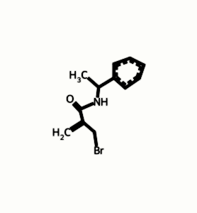 C=C(CBr)C(=O)NC(C)c1ccccc1